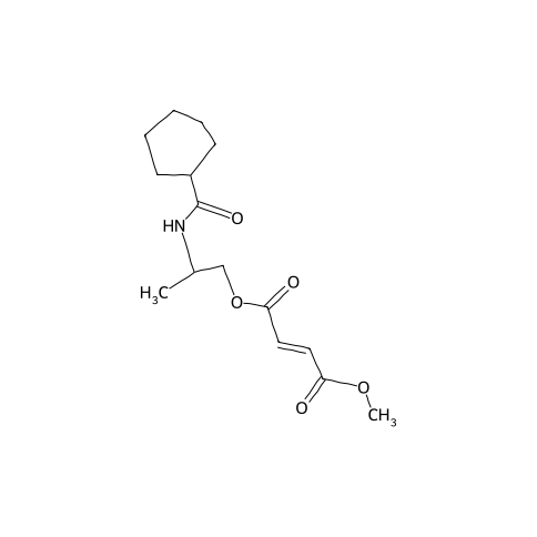 COC(=O)/C=C/C(=O)OCC(C)NC(=O)C1CCCCC1